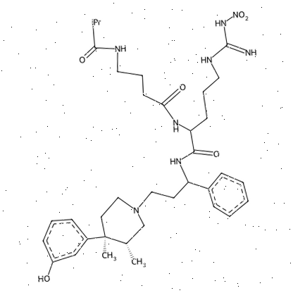 CC(C)C(=O)NCCCC(=O)NC(CCCNC(=N)N[N+](=O)[O-])C(=O)NC(CCN1CC[C@](C)(c2cccc(O)c2)[C@@H](C)C1)c1ccccc1